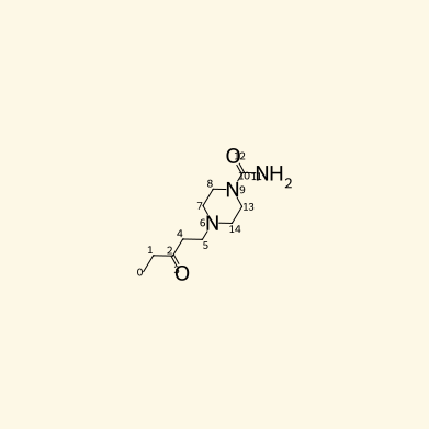 CCC(=O)CCN1CCN(C(N)=O)CC1